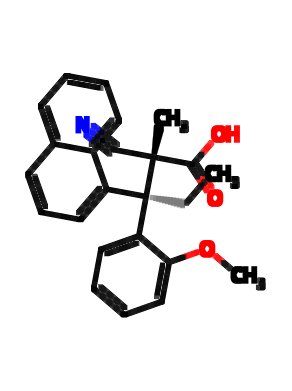 CC[C@](c1ccccc1OC)(c1cccc2ccccc12)[C@](C)(C#N)C(=O)O